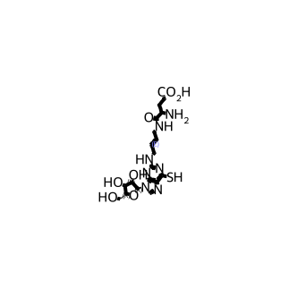 NC(CCC(=O)O)C(=O)NC/C=C/CNc1nc(S)c2ncn([C@@H]3O[C@H](CO)C(O)[C@@H]3O)c2n1